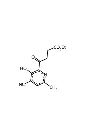 CCOC(=O)CCC(=O)c1nc(C)cc(C#N)c1O